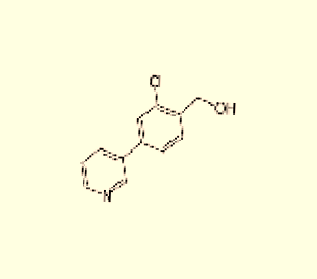 OCc1ccc(-c2cccnc2)cc1Cl